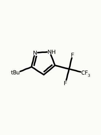 CC(C)(C)c1cc(C(F)(F)C(F)(F)F)[nH]n1